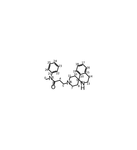 CN(C(=O)CCN1CCC2(CC1)NCCc1ccccc12)c1ccccc1